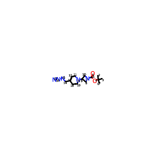 CC(C)(C)OC(=O)N1CC(N2CCC(CN=[N+]=[N-])CC2)C1